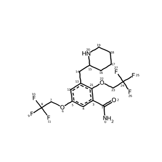 NC(=O)c1cc(OCC(F)(F)F)cc(CC2CCCCN2)c1OCC(F)(F)F